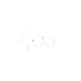 CCOC(=O)C1=CCC(=O)c2cc3cc(I)ccc3nc21